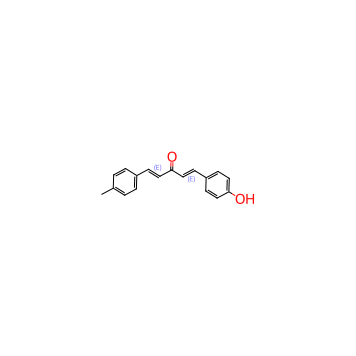 Cc1ccc(/C=C/C(=O)/C=C/c2ccc(O)cc2)cc1